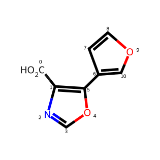 O=C(O)c1ncoc1-c1ccoc1